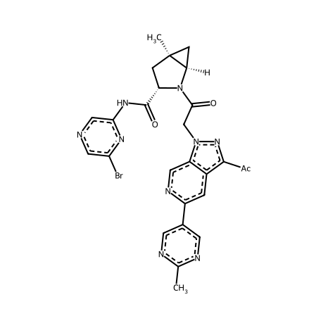 CC(=O)c1nn(CC(=O)N2[C@H](C(=O)Nc3cncc(Br)n3)C[C@@]3(C)C[C@@H]23)c2cnc(-c3cnc(C)nc3)cc12